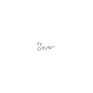 [Cr].[Fe].[Ni+2].[O-2]